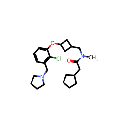 CN(CC1CC(Oc2cccc(CN3CCCC3)c2Cl)C1)C(=O)CC1CCCC1